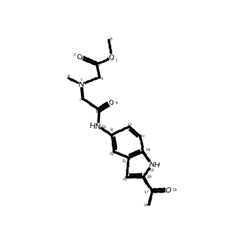 COC(=O)CN(C)CC(=O)Nc1ccc2[nH]c(C(C)=O)cc2c1